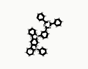 c1ccc(-c2nc(-c3ccccc3)nc(-c3cccc(-n4c5ccccc5c5cc6c7c(n(-c8ccccc8)c6cc54)CCCC7)c3)n2)cc1